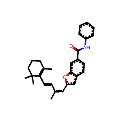 CC(C=CC1=C(C)CCCC1(C)C)=Cc1cc2ccc(C(=O)Nc3ccccc3)cc2o1